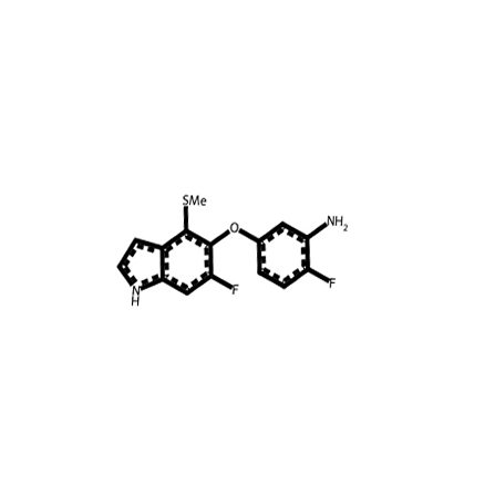 CSc1c(Oc2ccc(F)c(N)c2)c(F)cc2[nH]ccc12